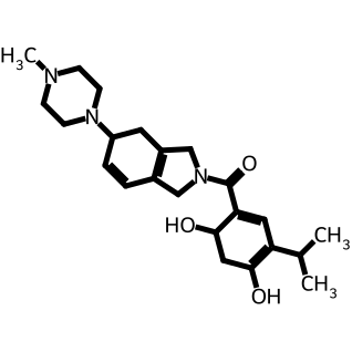 CC(C)C1=C(O)CC(O)C(C(=O)N2CC3=C(CC(N4CCN(C)CC4)C=C3)C2)=C1